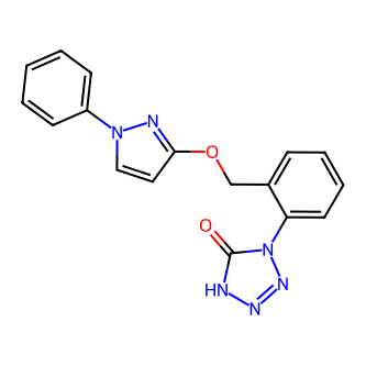 O=c1[nH]nnn1-c1ccccc1COc1ccn(-c2ccccc2)n1